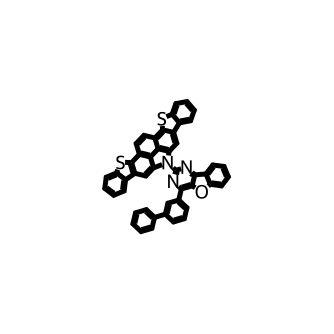 c1ccc(-c2cccc(-c3nc(-n4c5cc6c7ccccc7sc6c6ccc7c8sc9ccccc9c8cc4c7c65)nc4c3oc3ccccc34)c2)cc1